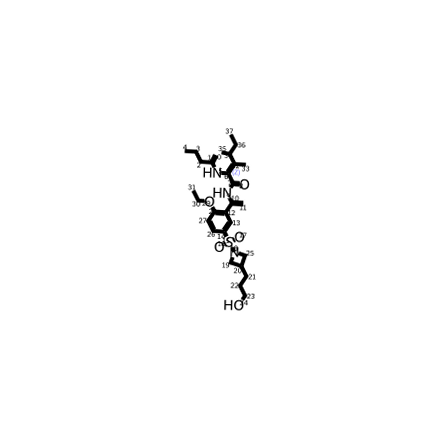 C=C(CCC)N/C(C(=O)NC(=C)c1cc(S(=O)(=O)N2CC(CCCO)C2)ccc1OCC)=C(/C)C(C)CC